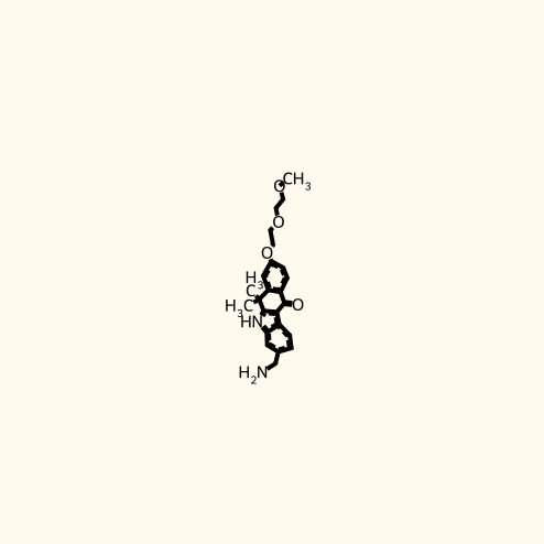 COCCOCCOc1ccc2c(c1)C(C)(C)c1[nH]c3cc(CN)ccc3c1C2=O